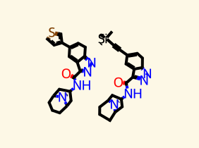 CN1C2CCCC1CC(NC(=O)C1=NN=C3CC=C(C#C[Si](C)(C)C)C=C31)C2.CN1C2CCCC1CC(NC(=O)C1=NN=C3CC=C(c4ccsc4)C=C31)C2